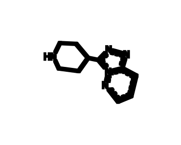 c1cnn2c(C3CCNCC3)nnc2c1